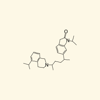 CC(C)c1cccc2c1CCN(C(C)CCC(C)c1ccc3c(c1)N(C(C)C)C(=O)C3)C2